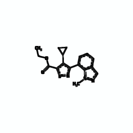 CCOC(=O)c1snc(-c2cccc3cnn(C)c23)c1C1CC1